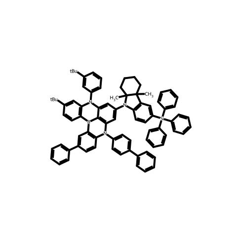 CC(C)(C)c1cccc(N2c3cc(C(C)(C)C)ccc3B3c4cc(-c5ccccc5)ccc4N(c4ccc(-c5ccccc5)cc4)c4cc(N5c6ccc([Si](c7ccccc7)(c7ccccc7)c7ccccc7)cc6C6(C)CCCCC56C)cc2c43)c1